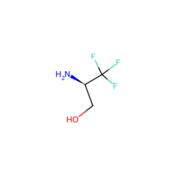 N[C@H](CO)C(F)(F)F